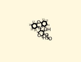 O=[SH]O[C@@H]1COCC(N2c3ccccc3Oc3ccccc32)[C@@H]1O